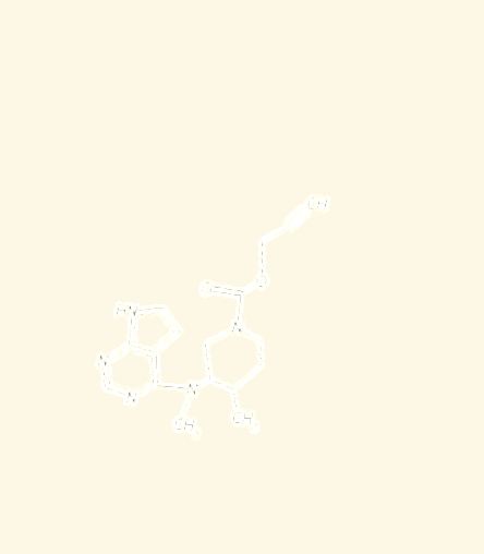 C#CCOC(=O)N1CCC(C)C(N(C)c2ncnc3[nH]ccc23)C1